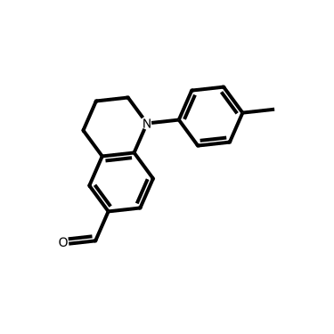 Cc1ccc(N2CCCc3cc(C=O)ccc32)cc1